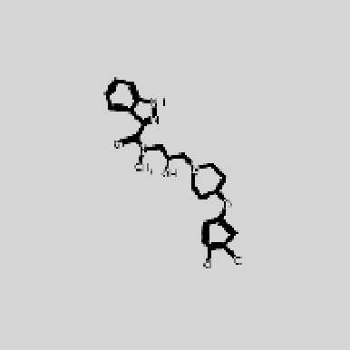 CN(C[C@H](O)CN1CCC(Oc2ccc(Cl)c(Cl)c2)CC1)C(=O)c1n[nH]c2ccccc12